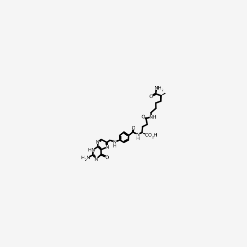 C[C@@H](CCCCNC(=O)CC[C@H](NC(=O)c1ccc(NCc2cnc3[nH]c(N)nc(=O)c3n2)cc1)C(=O)O)C(N)=O